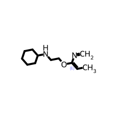 C=N/C(=C\C)OCCNC1CCCCC1